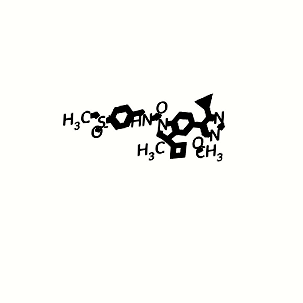 CC[S+]([O-])c1ccc(CNC(=O)N2CC(C)(C3CCC3)c3cc(-c4c(OC)ncnc4C4CC4)ccc32)cc1